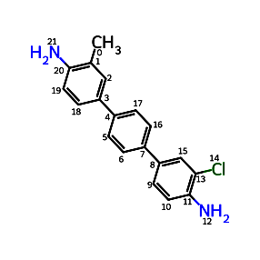 Cc1cc(-c2ccc(-c3ccc(N)c(Cl)c3)cc2)ccc1N